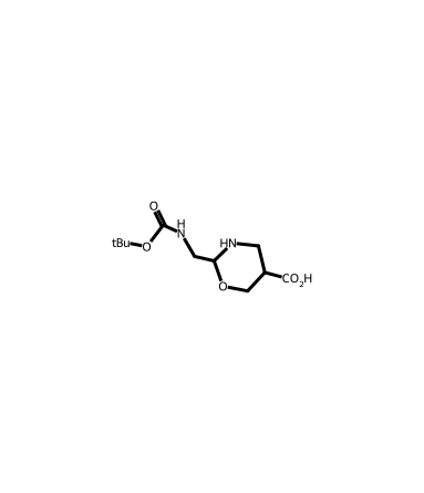 CC(C)(C)OC(=O)NCC1NCC(C(=O)O)CO1